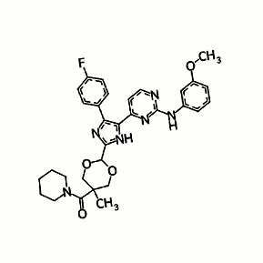 COc1cccc(Nc2nccc(-c3[nH]c(C4OCC(C)(C(=O)N5CCCCC5)CO4)nc3-c3ccc(F)cc3)n2)c1